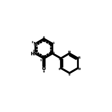 O=c1[nH]nccc1C1=CCCC=C1